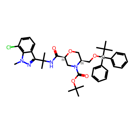 Cn1nc(C(C)(C)NC(=O)[C@@H]2CN(C(=O)OC(C)(C)C)[C@H](CO[Si](c3ccccc3)(c3ccccc3)C(C)(C)C)CO2)c2cccc(Cl)c21